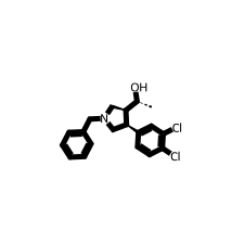 C[C@@H](O)[C@@H]1CN(Cc2ccccc2)C[C@@H]1c1ccc(Cl)c(Cl)c1